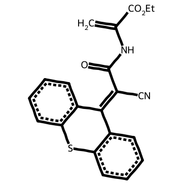 C=C(NC(=O)C(C#N)=C1c2ccccc2Sc2ccccc21)C(=O)OCC